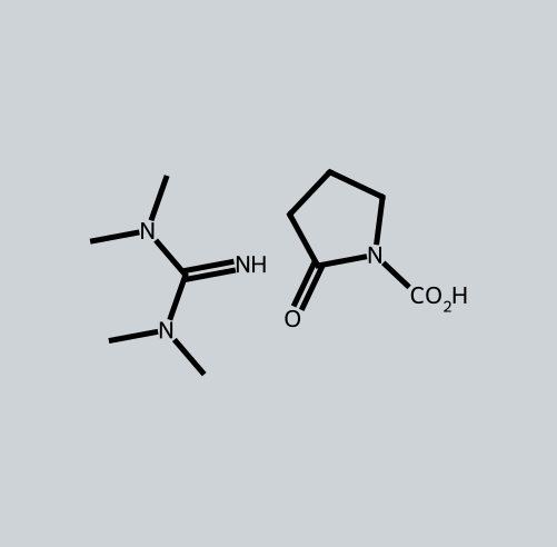 CN(C)C(=N)N(C)C.O=C(O)N1CCCC1=O